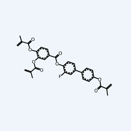 C=C(C)C(=O)Oc1ccc(-c2ccc(OC(=O)c3ccc(OC(=O)C(=C)C)c(OC(=O)C(=C)C)c3)c(F)c2)cc1